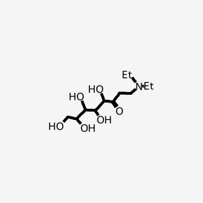 CCN(CC)CCC(=O)C(O)C(O)C(O)C(O)CO